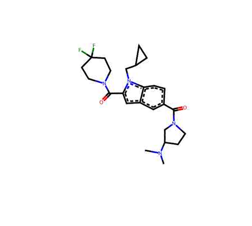 CN(C)C1CCN(C(=O)c2ccc3c(c2)cc(C(=O)N2CCC(F)(F)CC2)n3CC2CC2)C1